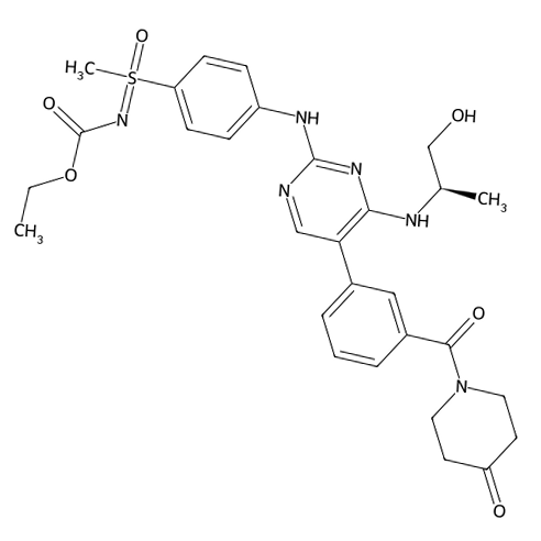 CCOC(=O)N=S(C)(=O)c1ccc(Nc2ncc(-c3cccc(C(=O)N4CCC(=O)CC4)c3)c(N[C@H](C)CO)n2)cc1